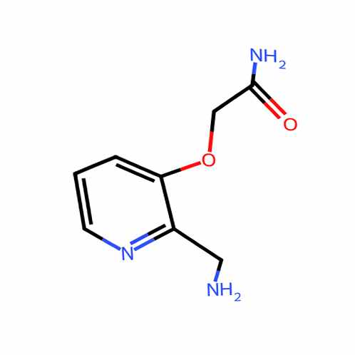 NCc1ncccc1OCC(N)=O